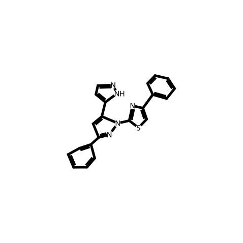 c1ccc(-c2csc(-n3nc(-c4ccccc4)cc3-c3ccn[nH]3)n2)cc1